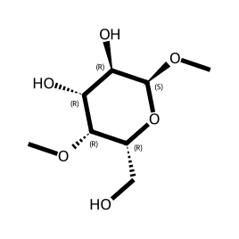 CO[C@H]1O[C@H](CO)[C@H](OC)[C@H](O)[C@H]1O